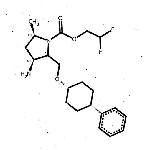 C[C@@H]1C[C@H](N)C(CO[C@H]2CC[C@@H](c3ccccc3)CC2)N1C(=O)OCC(F)F